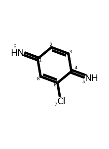 N=C1C=CC(=N)C(Cl)=C1